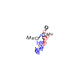 COCCN(CCOCc1ccccc1)c1cc(C(=O)Nc2nnc(-n3nccc3C)s2)oc(=O)c1OC